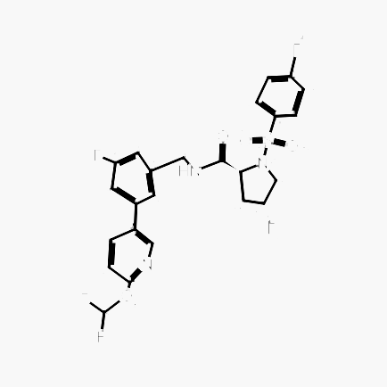 O=C(NCc1cc(F)cc(-c2ccc(OC(F)F)nc2)c1)[C@@H]1C[C@@H](F)CN1S(=O)(=O)c1ccc(F)cc1